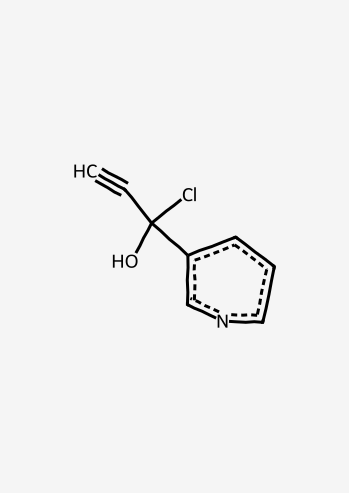 C#CC(O)(Cl)c1cccnc1